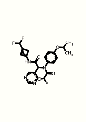 CC(C)Oc1ccc(N(C(=O)C(F)Cl)C(C(=O)NC23CC(C(F)F)(C2)C3)c2cncnc2)cc1